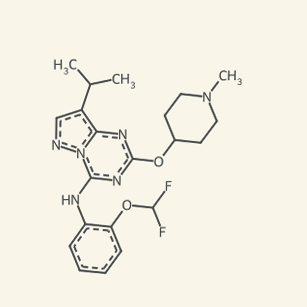 CC(C)c1cnn2c(Nc3ccccc3OC(F)F)nc(OC3CCN(C)CC3)nc12